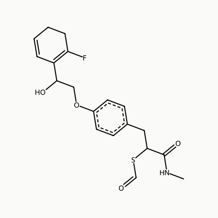 CNC(=O)C(Cc1ccc(OCC(O)C2=C(F)CCC=C2)cc1)SC=O